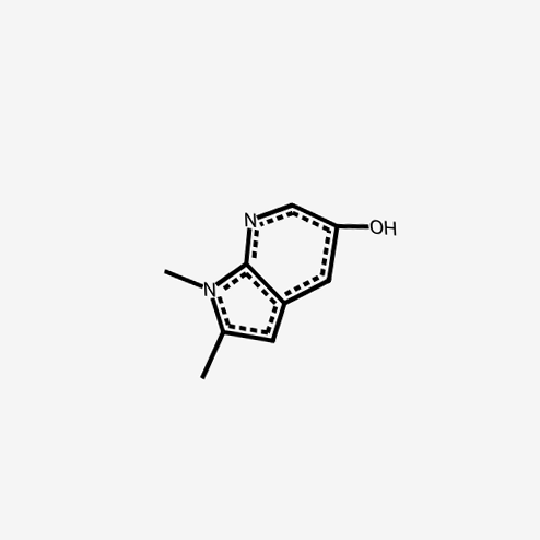 Cc1cc2cc(O)cnc2n1C